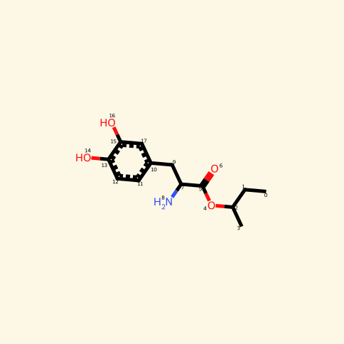 CCC(C)OC(=O)C(N)Cc1ccc(O)c(O)c1